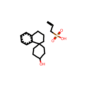 C=CCS(=O)(=O)O.OC1CCC2(CCCc3ccccc32)CC1